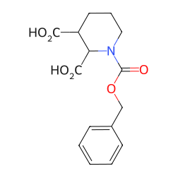 O=C(O)C1CCCN(C(=O)OCc2ccccc2)C1C(=O)O